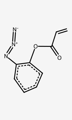 C=CC(=O)Oc1ccccc1N=[N+]=[N-]